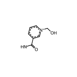 [NH]C(=O)c1ccc[n+](CO)c1